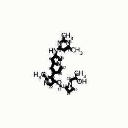 Cc1cc(Nc2cc3cc(-c4c(OC[C@H]5CCN5C[C@H](C)O)cnn4C)ccn3n2)nc(C)n1